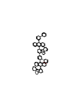 c1ccc(-c2cccc(-c3c4ccccc4c(-c4ccc(-c5ccc(-c6c7ccccc7c(-c7cccc8oc9ccccc9c78)c7ccccc67)c(-c6ccccc6)c5)c5oc6ccccc6c45)c4ccccc34)c2)cc1